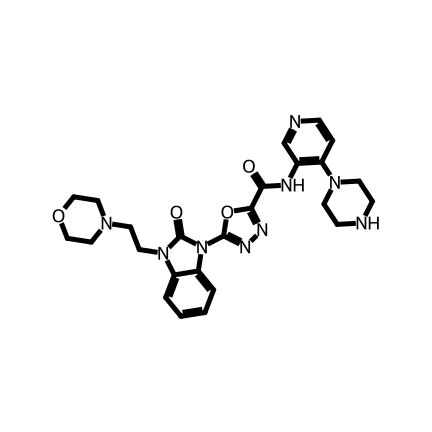 O=C(Nc1cnccc1N1CCNCC1)c1nnc(-n2c(=O)n(CCN3CCOCC3)c3ccccc32)o1